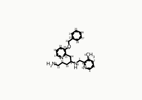 Cc1cccnc1CNC(CCCN)Cc1ncccc1OCc1ccccc1